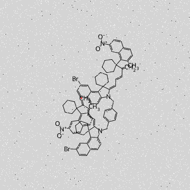 C=C(/C=C/C=C1/N(Cc2ccc(CN3/C(=C/C=C/C(=C)C4(c5c(C)ccc6ccc([N+](=O)[O-])cc56)CCCCC4)C4(CCCCC4)c4c3ccc3ccc(Br)cc43)cc2)c2ccc3ccc(Br)cc3c2C12CCCCC2)C1(c2c(C)ccc3ccc([N+](=O)[O-])cc23)CCCCC1